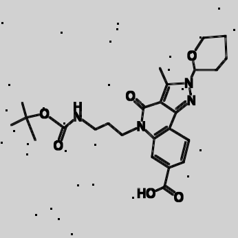 Cc1c2c(=O)n(CCCNC(=O)OC(C)(C)C)c3cc(C(=O)O)ccc3c2nn1C1CCCCO1